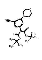 CC(C)(C)OC(=O)N(C(=O)OC(C)(C)C)c1cc(C#N)nc(N2CCOCC2)n1